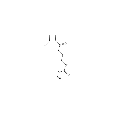 [CH2]C1CCN1C(=O)CCCNC(=O)OC(C)(C)C